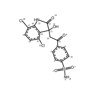 NS(=O)(=O)c1ccc(C(=O)CC2(O)C(=O)Nc3c(Cl)ccc(Cl)c32)cc1